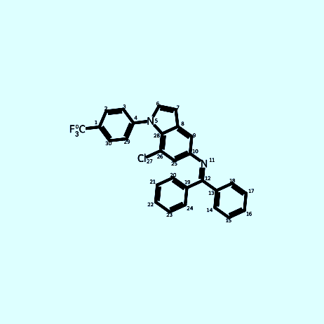 FC(F)(F)c1ccc(-n2ccc3cc(N=C(c4ccccc4)c4ccccc4)cc(Cl)c32)cc1